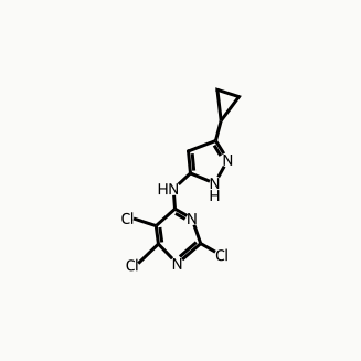 Clc1nc(Cl)c(Cl)c(Nc2cc(C3CC3)n[nH]2)n1